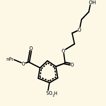 CCCOC(=O)c1cc(C(=O)OCCOCCO)cc(S(=O)(=O)O)c1